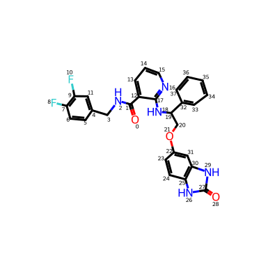 O=C(NCc1ccc(F)c(F)c1)c1cccnc1NC(COc1ccc2[nH]c(=O)[nH]c2c1)c1ccccc1